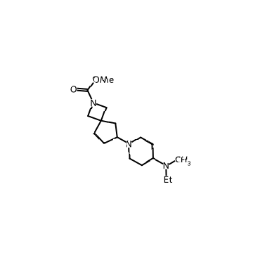 CCN(C)C1CCN(C2CCC3(C2)CN(C(=O)OC)C3)CC1